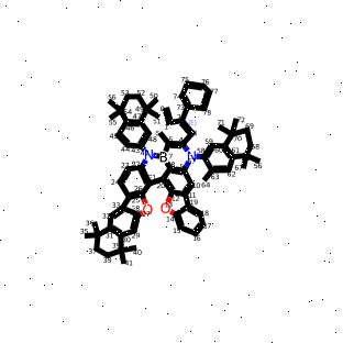 C=C/C(=C\C1=C(C)B2c3c(cc4c(oc5ccccc54)c3-c3c(ccc4c3oc3cc5c(cc34)C(C)(C)CCC5(C)C)N2c2ccc3c(c2)C(C)(C)CCC3(C)C)N1c1cc2c(cc1C)C(C)(C)CCC2(C)C)c1ccccc1